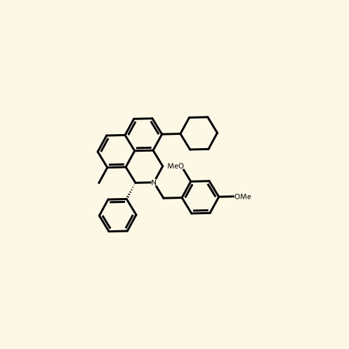 COc1ccc(CN2Cc3c(C4CCCCC4)ccc4ccc(C)c(c34)[C@H]2c2ccccc2)c(OC)c1